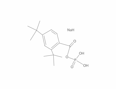 CC(C)(C)c1ccc(C(=O)OP(=O)(O)O)c(C(C)(C)C)c1.[NaH]